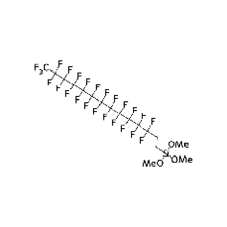 CO[Si](CCC(F)(F)C(F)(F)C(F)(F)C(F)(F)C(F)(F)C(F)(F)C(F)(F)C(F)(F)C(F)(F)C(F)(F)C(F)(F)C(F)(F)F)(OC)OC